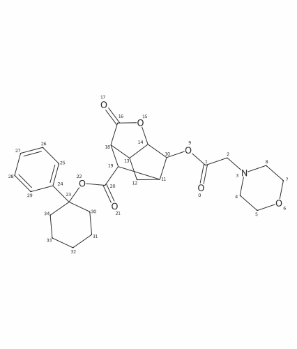 O=C(CN1CCOCC1)OC1C2CC3C1OC(=O)C3C2C(=O)OC1(c2ccccc2)CCCCC1